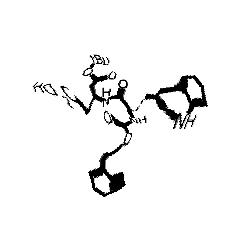 CC(C)(C)OC(=O)[C@H](CC(=O)O)NC(=O)[C@H](Cc1c[nH]c2ccccc12)NC(=O)OCc1ccccc1